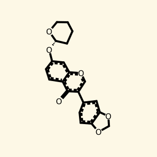 O=c1c(-c2ccc3c(c2)OCO3)coc2cc(O[C@H]3CCCCO3)ccc12